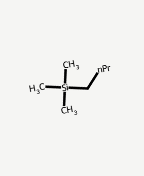 CCCC[Si](C)(C)C